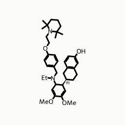 CCN(Cc1ccc(OCCN2C(C)(C)CCCC2(C)C)cc1)C1C=C(OC)C(OC)=CC1[C@@H]1CCc2cc(O)ccc2C1